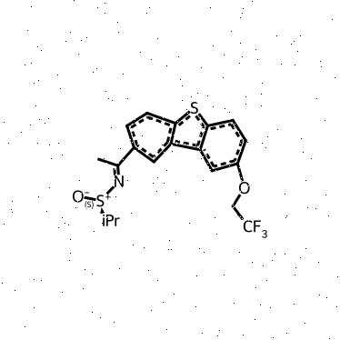 CC(=N[S@+]([O-])C(C)C)c1ccc2sc3ccc(OCC(F)(F)F)cc3c2c1